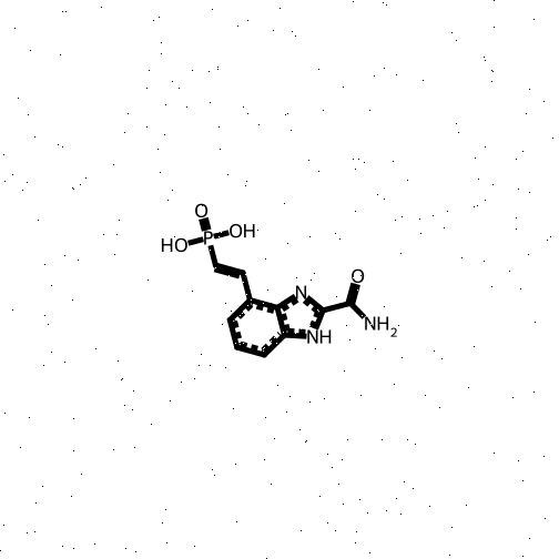 NC(=O)c1nc2c(C=CP(=O)(O)O)cccc2[nH]1